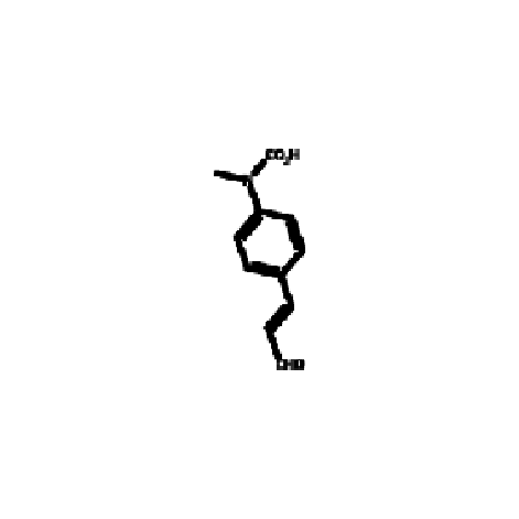 CN(C(=O)O)c1ccc(C=CC=O)cc1